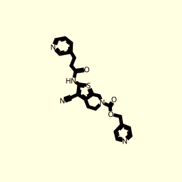 N#Cc1c(NC(=O)CCc2cccnc2)sc2c1CCN(C(=O)OCc1ccncc1)C2